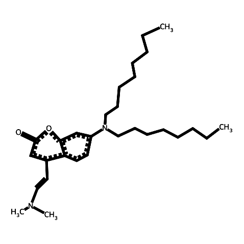 CCCCCCCCN(CCCCCCCC)c1ccc2c(/C=C/N(C)C)cc(=O)oc2c1